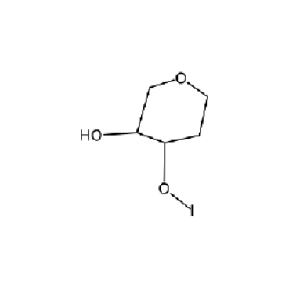 OC1COCCC1OI